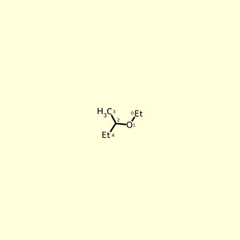 [CH2]COC(C)CC